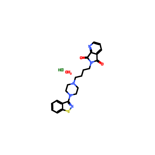 Cl.O.O=C1c2cccnc2C(=O)N1CCCCN1CCN(c2nsc3ccccc23)CC1